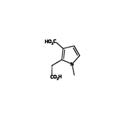 Cn1ccc(C(=O)O)c1CC(=O)O